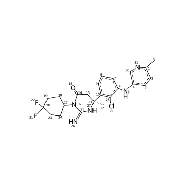 Cc1ccc(Nc2cccc([C@]3(C)CC(=O)N(C4CCC(F)(F)CC4)C(=N)N3)c2Cl)cn1